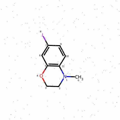 CN1CCOc2cc(I)ccc21